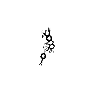 N#Cc1ccc(OCC2(O)C(O)CCC3Cc4cc(C#N)c(C(F)(F)F)cc4NC32)cc1